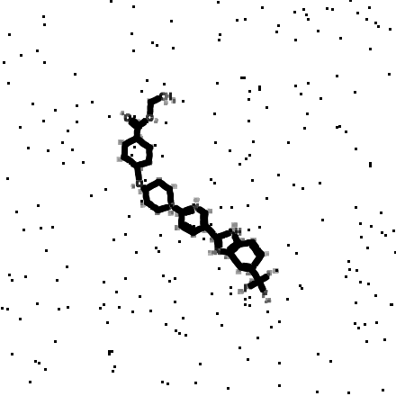 CCOC(=O)C1CCC(OC2CCN(c3ccc(-c4nc5cc(C(F)(F)F)ccc5[nH]4)cn3)CC2)CC1